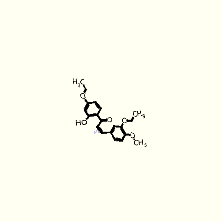 CCOc1ccc(C(=O)/C=C\c2ccc(OC)c(OCC)c2)c(O)c1